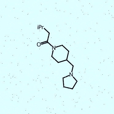 CC(C)CC(=O)N1CCC(CN2CCCC2)CC1